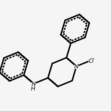 ClN1CCC(Nc2ccccc2)CC1c1ccccc1